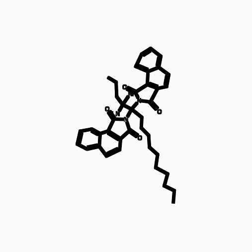 CCCCCCCCCCC(N1C(=O)c2ccc3ccccc3c2C1=O)(N1C(=O)c2ccc3ccccc3c2C1=O)C(N)(N)CCC